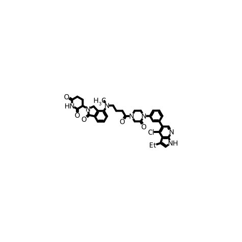 CCc1c[nH]c2ncc(-c3cccc(N4CCN(C(=O)CCCN(C)c5cccc6c5CN(C5CCC(=O)NC5=O)C6=O)CC4=O)c3)c(Cl)c12